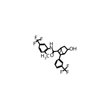 Cc1ccc(C(F)(F)F)cc1NC(=O)C1C2CC(O)C(O2)C1c1cccc(C(F)(F)F)c1